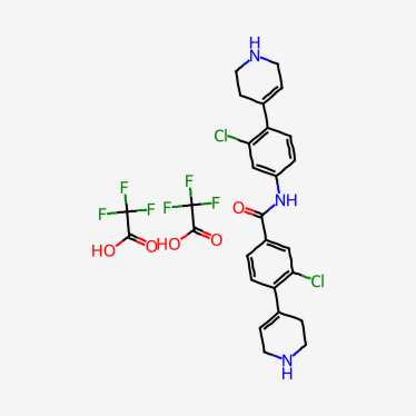 O=C(Nc1ccc(C2=CCNCC2)c(Cl)c1)c1ccc(C2=CCNCC2)c(Cl)c1.O=C(O)C(F)(F)F.O=C(O)C(F)(F)F